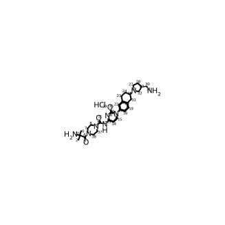 CC(C)(N)C(=O)N1CCN(C(=O)Nc2ccn(-c3ccc4c(c3)CCC(N3CC[C@@H](CN)C3)C4)c(=O)n2)CC1.Cl